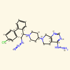 [N-]=[N+]=NCC(c1ccccc1-c1ccc(Cl)cc1)N1CCC(N2CCc3c(ncnc3NN)C2)CC1